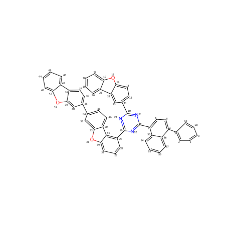 c1ccc(-c2ccc(-c3nc(-c4ccc5oc6ccccc6c5c4)nc(-c4cccc5oc6cc(-c7ccc8c(c7)oc7ccccc78)ccc6c45)n3)c3ccccc23)cc1